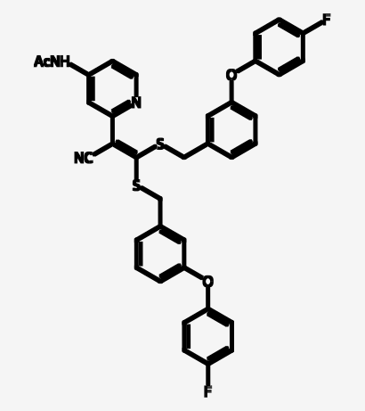 CC(=O)Nc1ccnc(C(C#N)=C(SCc2cccc(Oc3ccc(F)cc3)c2)SCc2cccc(Oc3ccc(F)cc3)c2)c1